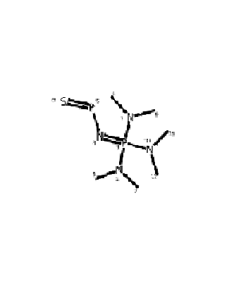 CN(C)P(=NP=S)(N(C)C)N(C)C